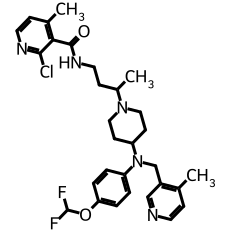 Cc1ccncc1CN(c1ccc(OC(F)F)cc1)C1CCN(C(C)CCNC(=O)c2c(C)ccnc2Cl)CC1